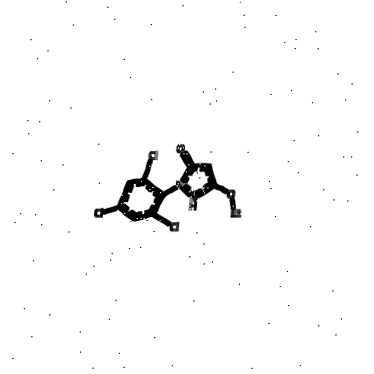 CCOc1cc(=O)n(-c2c(Cl)cc(Cl)cc2Cl)[nH]1